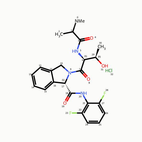 CNC(C)C(=O)N[C@H](C(=O)N1Cc2ccccc2[C@H]1C(=O)Nc1c(F)cccc1F)[C@@H](C)O.Cl